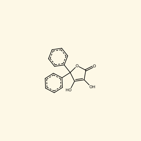 O=C1OC(c2ccccc2)(c2ccccc2)C(O)=C1O